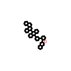 c1cc(-c2c3ccccc3c(-c3cc4ccc5ccccc5c4c4ccccc34)c3ccccc23)cc(-c2cccc3oc4cc5ccccc5cc4c23)c1